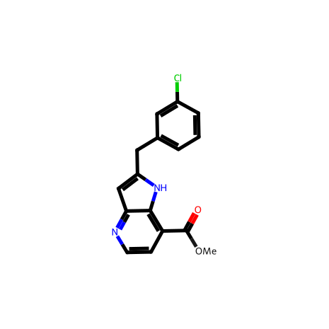 COC(=O)c1ccnc2cc(Cc3cccc(Cl)c3)[nH]c12